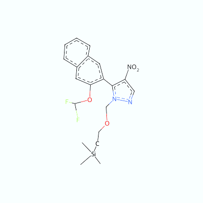 C[Si](C)(C)CCOCn1ncc([N+](=O)[O-])c1-c1cc2ccccc2cc1OC(F)F